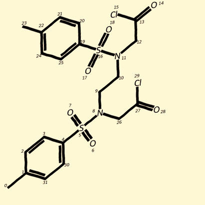 Cc1ccc(S(=O)(=O)N(CCN(CC(=O)Cl)S(=O)(=O)c2ccc(C)cc2)CC(=O)Cl)cc1